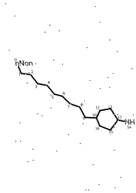 CCCCCCCCCCCCCCCCCCC1CCC(N)CC1